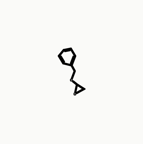 c1ccc(COC2CO2)cc1